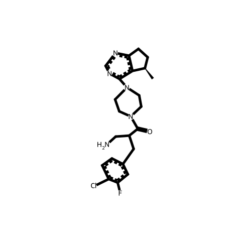 C[C@@H]1CCc2ncnc(N3CCN(C(=O)C(CN)Cc4ccc(Cl)c(F)c4)CC3)c21